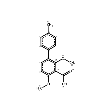 COc1ccc(-c2ccc(C)cc2)c(OC)c1C(=O)O